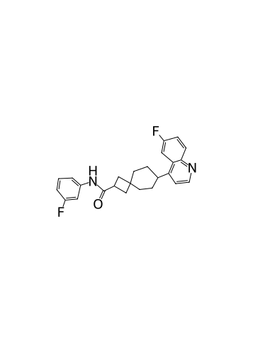 O=C(Nc1cccc(F)c1)C1CC2(CCC(c3ccnc4ccc(F)cc34)CC2)C1